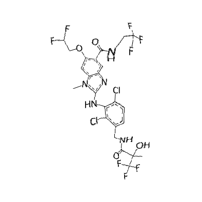 Cn1c(Nc2c(Cl)ccc(CNC(=O)C(C)(O)C(F)(F)F)c2Cl)nc2cc(C(=O)NCC(F)(F)F)c(OCC(F)F)cc21